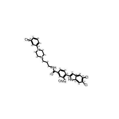 COc1cc(C(=O)NCCCN2CCN(c3cccc(Cl)c3)CC2)ccc1-c1cc2cc(Cl)c(Cl)cc2[nH]1